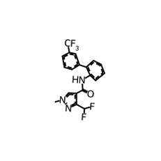 Cn1cc(C(=O)Nc2ccccc2-c2cccc(C(F)(F)F)c2)c(C(F)F)n1